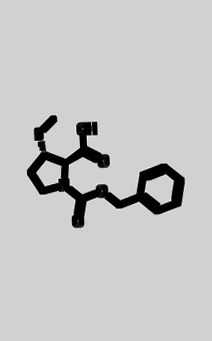 CS[C@H]1CCN(C(=O)OCc2ccccc2)[C@@H]1C(=O)O